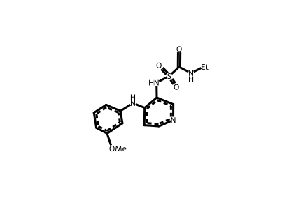 CCNC(=O)S(=O)(=O)Nc1cnccc1Nc1cccc(OC)c1